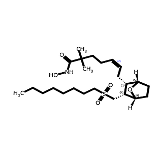 CCCCCCCCS(=O)(=O)C[C@@H]1[C@H](C/C=C\CCC(C)(C)C(=O)NO)[C@@H]2CC[C@H]1O2